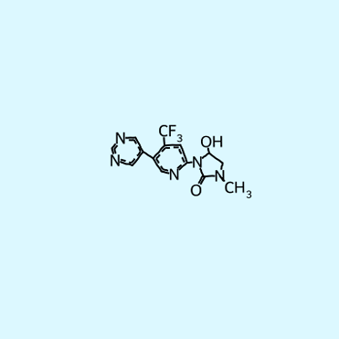 CN1CC(O)N(c2cc(C(F)(F)F)c(-c3cncnc3)cn2)C1=O